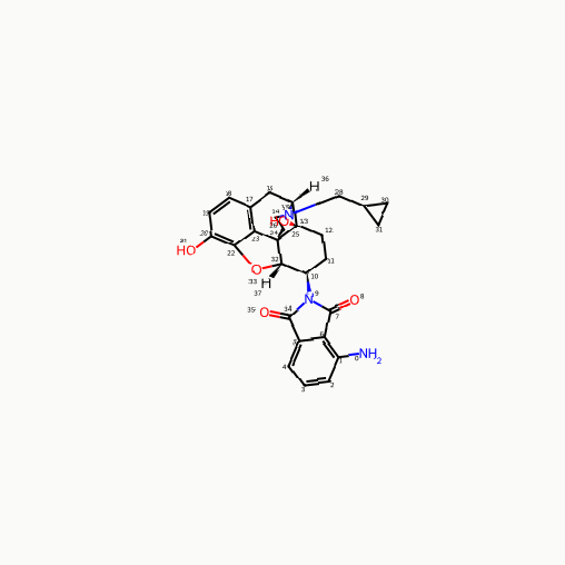 Nc1cccc2c1C(=O)N([C@@H]1CC[C@@]3(O)[C@H]4Cc5ccc(O)c6c5[C@@]3(CCN4CC3CC3)[C@H]1O6)C2=O